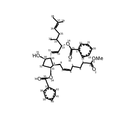 COC(=O)CCC/C=C\C[C@@H]1[C@@H](/C=C/[C@@H](OC(=O)c2ccccc2)C(C)CC=C(C)C)[C@H](O)C[C@@H]1OC(=O)c1ccccc1